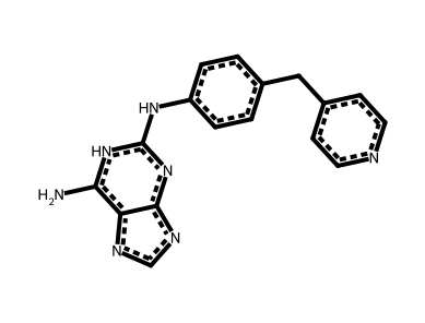 Nc1[nH]c(Nc2ccc(Cc3ccncc3)cc2)nc2ncnc1-2